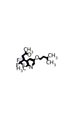 CC(=O)/C=C(\c1cc(OCCC(C)C)cnc1C)C(F)(F)F